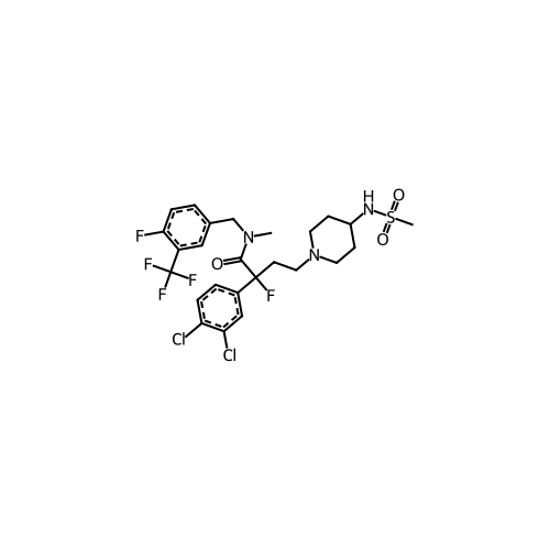 CN(Cc1ccc(F)c(C(F)(F)F)c1)C(=O)C(F)(CCN1CCC(NS(C)(=O)=O)CC1)c1ccc(Cl)c(Cl)c1